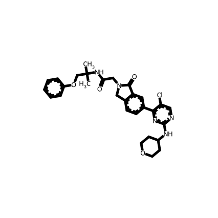 CC(C)(COc1ccccc1)NC(=O)CN1Cc2ccc(-c3nc(NC4CCOCC4)ncc3Cl)cc2C1=O